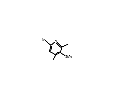 CSc1c(F)cc(Br)nc1C